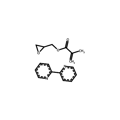 C=C(C)C(=O)OCC1CO1.c1ccc(-c2ccccn2)nc1